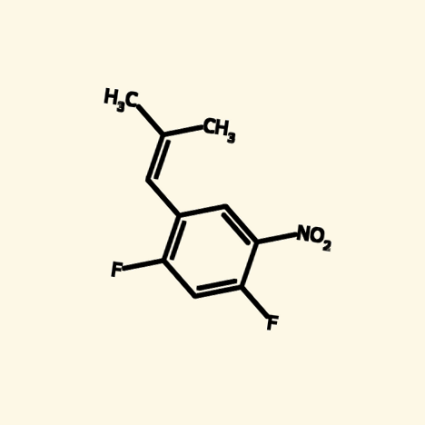 CC(C)=Cc1cc([N+](=O)[O-])c(F)cc1F